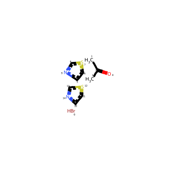 Br.CC(C)=O.c1cscn1.c1cscn1